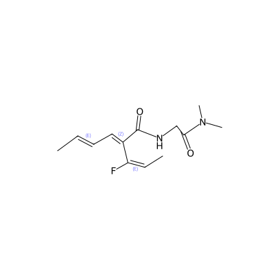 C/C=C/C=C(C(=O)NCC(=O)N(C)C)\C(F)=C/C